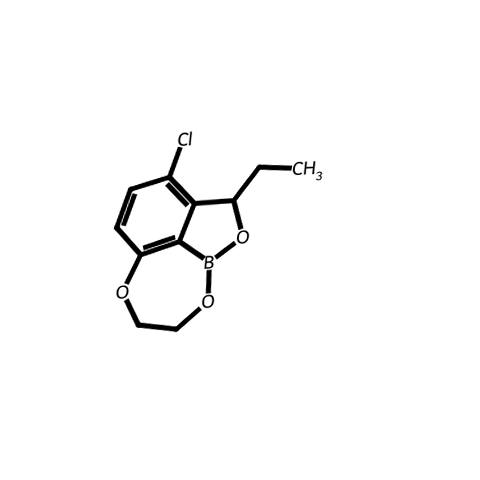 CCC1OB2OCCOc3ccc(Cl)c1c32